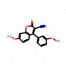 COc1cccc(-c2c(C#N)c(=O)oc3cc(OC)ccc23)c1